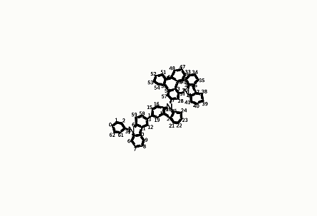 c1ccc(-n2c3ccccc3c3cc(-c4ccc5c(c4)c4ccccc4n5-c4cc(-n5c6ccccc6c6ccccc65)c5c6ccccc6c6ccccc6c5c4)ccc32)cc1